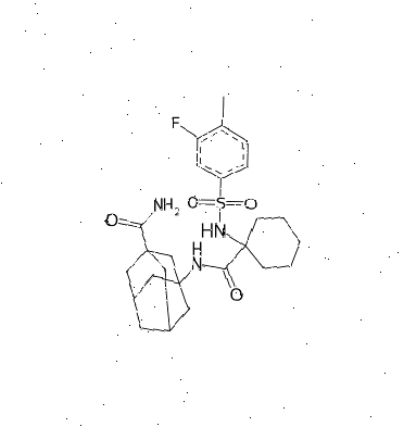 Cc1ccc(S(=O)(=O)NC2(C(=O)NC34CC5CC(C3)CC(C(N)=O)(C5)C4)CCCCC2)cc1F